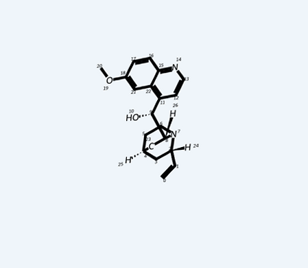 C=C[C@@H]1C[C@H]2CCN1[C@@H]([C@H](O)c1ccnc3ccc(OC)cc13)C2